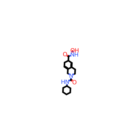 O=C(NO)C1C=C2CCN(C(=O)NC3CCCCC3)CC2=CC1